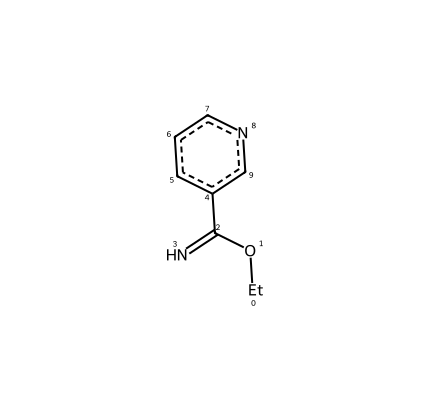 CCOC(=N)c1cccnc1